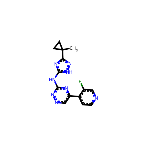 CC1(c2n[nH]c(Nc3nncc(-c4ccncc4F)n3)n2)CC1